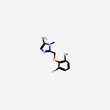 Cn1c([N+](=O)[O-])cnc1COc1c(Cl)cccc1C#N